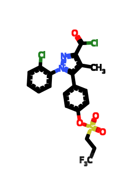 Cc1c(C(=O)Cl)nn(-c2ccccc2Cl)c1-c1ccc(OS(=O)(=O)CCC(F)(F)F)cc1